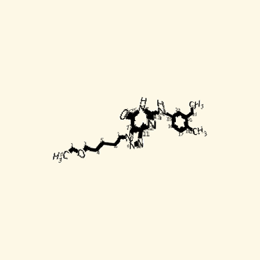 CCOCCCCCn1nnc2nc(Nc3ccc(C)c(CC)c3)[nH]c(=O)c21